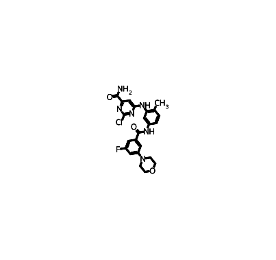 Cc1ccc(NC(=O)c2cc(F)cc(N3CCOCC3)c2)cc1Nc1cc(C(N)=O)nc(Cl)n1